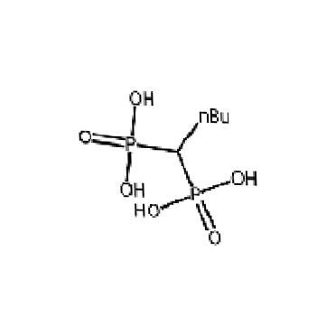 CC[CH]CC(P(=O)(O)O)P(=O)(O)O